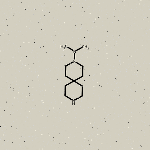 CN(C)P1CCC2(CCNCC2)CC1